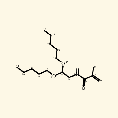 C=C(C)C(=O)NCC(OCCCCC)OCCCCC